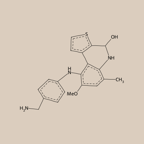 COc1cc(C)c2c(c1Nc1ccc(CN)cc1)-c1ccsc1C(O)N2